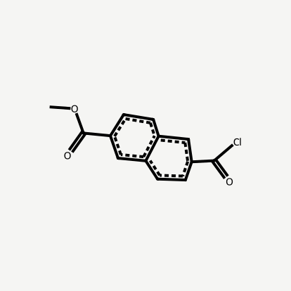 COC(=O)c1ccc2cc(C(=O)Cl)ccc2c1